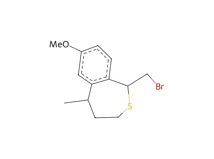 COc1ccc2c(c1)C(C)CCSC2CBr